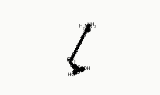 CCN(CCOCCOCCOCCOCCOCCOCCOCCOc1cccc(N(N)C(N)=O)c1)CCOc1ccc(C(=O)c2c(-c3ccc(O)cc3)sc3cc(O)ccc23)cc1